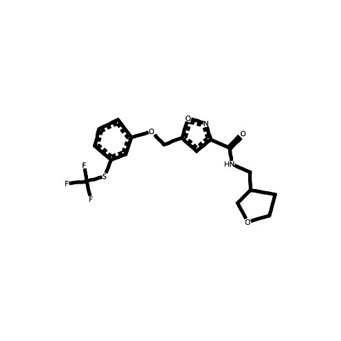 O=C(NCC1CCOC1)c1cc(COc2cccc(SC(F)(F)F)c2)on1